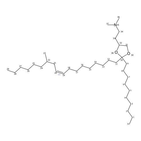 CCCCCCCCCCC1(CCCCCCCC/C=C\CC(C)CCCCCC)OCC(CCN(C)C)O1